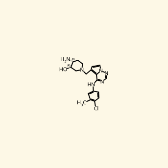 Cc1cc(Nc2ncnn3ccc(CN4CC[C@@H](N)[C@H](O)C4)c23)ccc1Cl